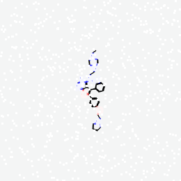 CCN1CCN(CCNc2ncnc3oc(-c4ccc(OCCN5CCCC5)cc4)c(-c4ccccc4)c23)CC1